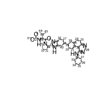 COC(=O)N[C@H](C(=O)N1CCC[C@H]1c1nc2ccc(-c3ccc4c(ccc5ncnc(Nc6ccccc6)c54)c3)cc2[nH]1)C(C)C